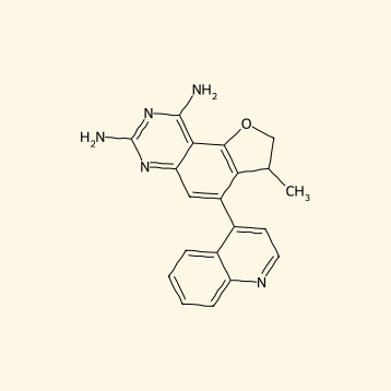 CC1COc2c1c(-c1ccnc3ccccc13)cc1nc(N)nc(N)c21